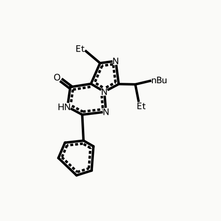 CCCCC(CC)c1nc(CC)c2c(=O)[nH]c(-c3ccccc3)nn12